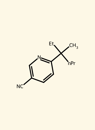 CCCC(C)(CC)c1ccc(C#N)cn1